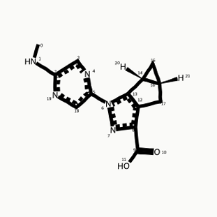 CNc1cnc(-n2nc(C(=O)O)c3c2[C@@H]2C[C@@H]2C3)cn1